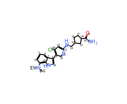 CCN(C(C)=O)c1cccc2c(-c3cnc(NCC4CCC(C(N)=O)C4)cc3Cl)c[nH]c12